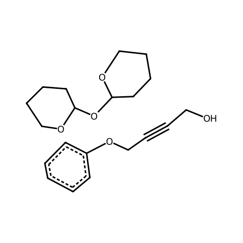 C1CCC(OC2CCCCO2)OC1.OCC#CCOc1ccccc1